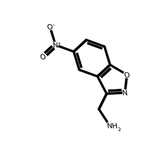 NCc1noc2ccc([N+](=O)[O-])cc12